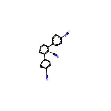 [C-]#[N+]c1ccc(-c2cccc(-c3ccc(C#N)cc3)c2C#N)cc1